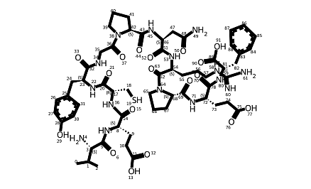 CC(C)[C@H](N)C(=O)N[C@@H](CCC(=O)O)C(=O)N[C@@H](CS)C(=O)N[C@@H](Cc1ccc(O)cc1)C(=O)NCC(=O)N1CCC[C@H]1C(=O)N[C@@H](CC(N)=O)C(=O)N[C@@H](CCCNC(=N)N)C(=O)N1CCC[C@H]1C(=O)N[C@@H](CCC(=O)O)C(=O)N[C@@H](Cc1ccccc1)C(=O)O